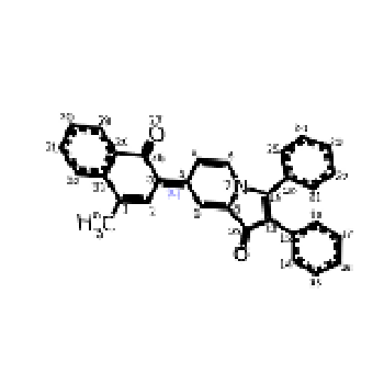 CC1=C/C(=C2/C=CN3C(=C2)C(=O)C(c2ccccc2)=C3c2ccccc2)C(=O)c2ccccc21